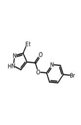 CCc1n[nH]cc1C(=O)Oc1ccc(Br)cn1